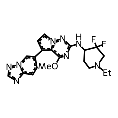 CCN1CCC(Nc2nc(OC)c3c(-c4ccc5ncnn5c4)ccn3n2)C(F)(F)C1